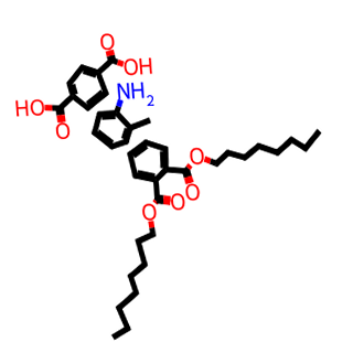 CCCCCCCCOC(=O)c1ccccc1C(=O)OCCCCCCCC.Cc1ccccc1N.O=C(O)c1ccc(C(=O)O)cc1